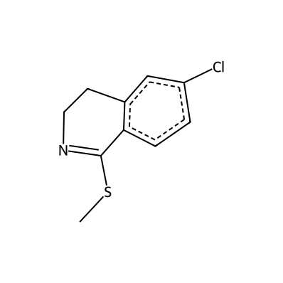 CSC1=NCCc2cc(Cl)ccc21